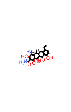 C=Cc1ccc(O)c2c1C[C@H]1C[C@H]3[C@H](N(C)C)C(O)=C(C(N)=O)C(=O)[C@@]3(O)C(O)=C1C2=O